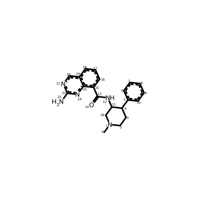 CN1CCC(c2ccccc2)C(NC(=O)c2cccc3cnc(N)nc23)C1